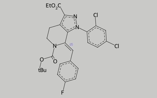 CCOC(=O)c1nn(-c2ccc(Cl)cc2Cl)c2c1CCN(C(=O)OC(C)(C)C)/C2=C\c1ccc(F)cc1